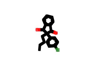 CCCCC1(c2ccc(Cl)cc2)C(=O)c2ccccc2C1=O